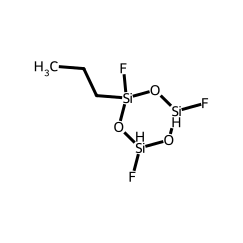 CCC[Si]1(F)O[SiH](F)O[SiH](F)O1